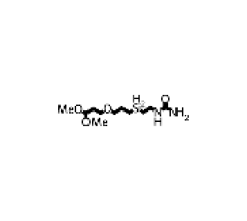 COC(CCOCCC[SiH2]CCNC(N)=O)OC